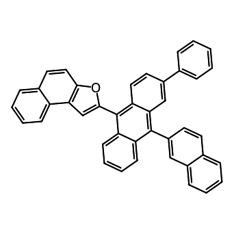 c1ccc(-c2ccc3c(-c4cc5c(ccc6ccccc65)o4)c4ccccc4c(-c4ccc5ccccc5c4)c3c2)cc1